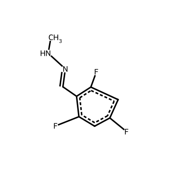 CNN=Cc1c(F)cc(F)cc1F